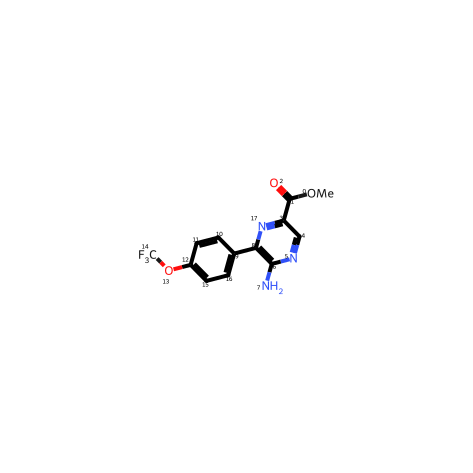 COC(=O)c1cnc(N)c(-c2ccc(OC(F)(F)F)cc2)n1